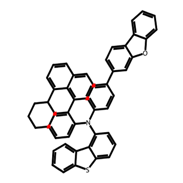 c1ccc(N(c2ccc(-c3ccc4c(c3)oc3ccccc34)cc2)c2cccc3sc4ccccc4c23)c(-c2cccc3cccc(C4CCCCC4)c23)c1